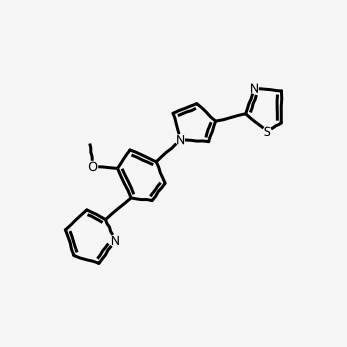 COc1cc(-n2ccc(-c3nccs3)c2)ccc1-c1ccccn1